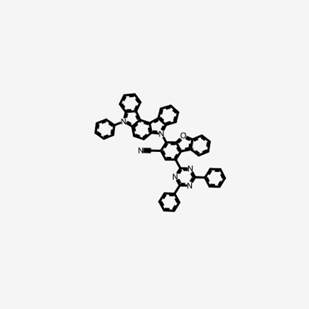 N#Cc1cc(-c2nc(-c3ccccc3)nc(-c3ccccc3)n2)c2c(oc3ccccc32)c1-n1c2ccccc2c2c3c4ccccc4n(-c4ccccc4)c3ccc21